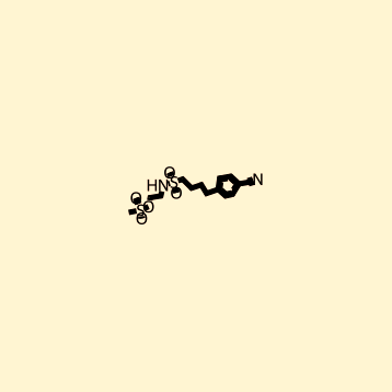 CS(=O)(=O)OCCNS(=O)(=O)CCCCc1ccc(C#N)cc1